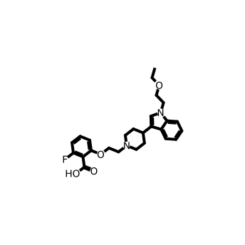 CCOCCn1cc(C2CCN(CCOc3cccc(F)c3C(=O)O)CC2)c2ccccc21